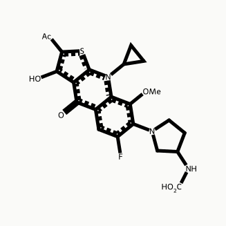 COc1c(N2CCC(NC(=O)O)C2)c(F)cc2c(=O)c3c(O)c(C(C)=O)sc3n(C3CC3)c12